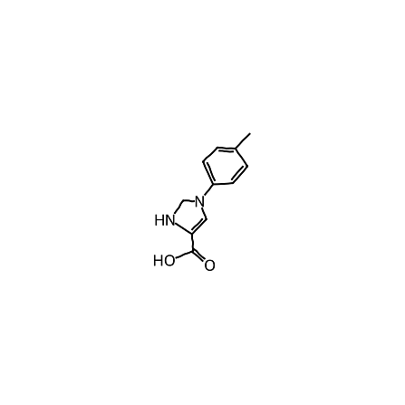 Cc1ccc(N2C=C(C(=O)O)NC2)cc1